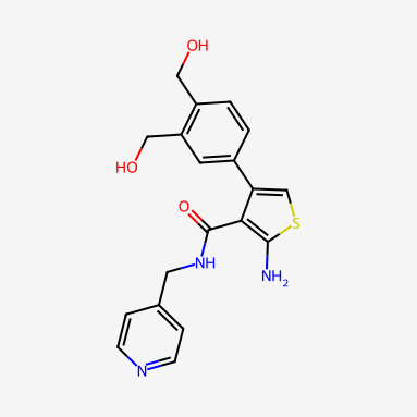 Nc1scc(-c2ccc(CO)c(CO)c2)c1C(=O)NCc1ccncc1